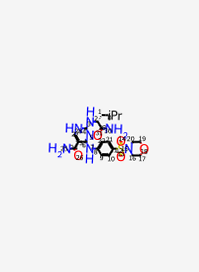 CC(C)C[C@@H](NC1N=C(Nc2ccc(S(=O)(=O)N3CCOCC3)cc2)C(C(N)=O)=CN1)C(N)=O